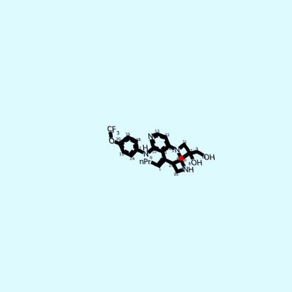 CCC/C=C(\c1c(N2CC(O)(CO)C2)ccnc1Nc1ccc(OC(F)(F)F)cc1)C1CNC1